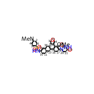 CNc1ccc(S(=O)(=O)Nc2ccc3cc(-c4ccc(-n5ccc(=O)[nH]c5=O)c(OC)c4-c4ccoc4)ccc3c2)cc1